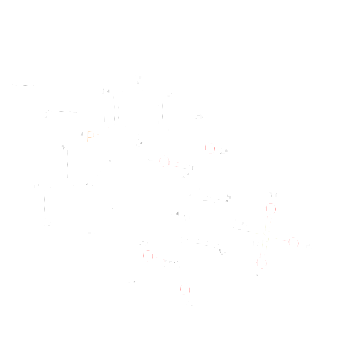 CCCC[P+](CCCC)(CCCC)c1ccccc1.COC(=O)c1cc(C(=O)OC)cc(S(=O)(=O)[O-])c1